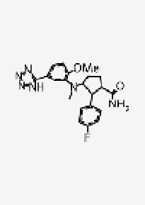 COc1ccc(-c2nnn[nH]2)cc1N(C)C1CCC(C(N)=O)C1c1ccc(F)cc1